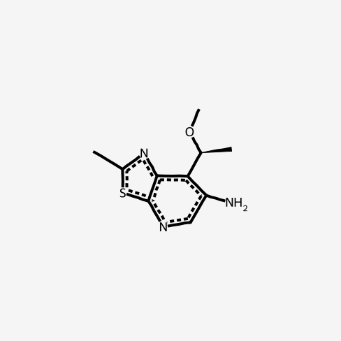 CO[C@@H](C)c1c(N)cnc2sc(C)nc12